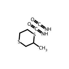 CC1CSCCS1.N=C=O.N=C=O